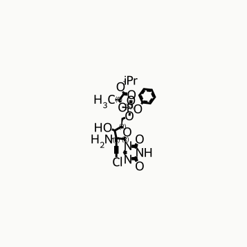 CC(C)OC(=O)[C@H](C)O[P@](=O)(OC[C@H]1O[C@@H](n2cnc(=O)[nH]c2=O)[C@@](N)(C#CCl)C1O)Oc1ccccc1